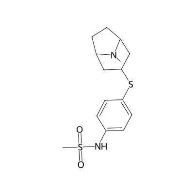 CN1C2CCC1CC(Sc1ccc(NS(C)(=O)=O)cc1)C2